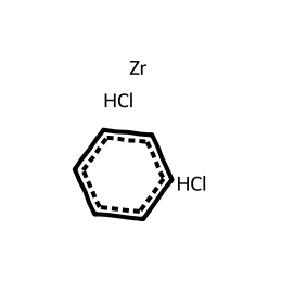 Cl.Cl.[Zr].c1ccccc1